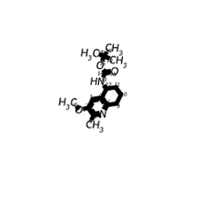 COc1cc2c(nc1C)CCCC2NC(=O)OC(C)(C)C